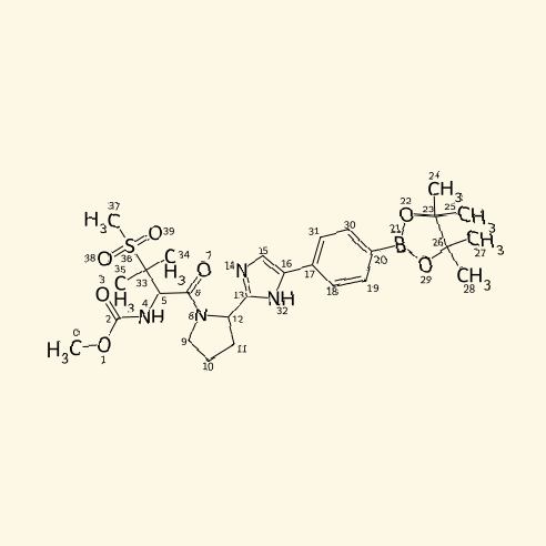 COC(=O)NC(C(=O)N1CCCC1c1ncc(-c2ccc(B3OC(C)(C)C(C)(C)O3)cc2)[nH]1)C(C)(C)S(C)(=O)=O